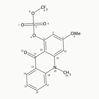 COc1cc(OS(=O)(=O)OC(F)(F)F)c2c(=O)c3ccccc3n(C)c2c1